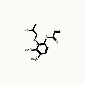 C=CC(=O)Oc1ccc(C(=O)O)c(S(=O)(=O)O)c1OCC(C)O